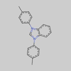 Cc1ccc(-n2c[n+](-c3ccc(C)cc3)c3ccccc32)cc1